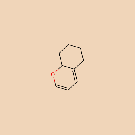 C1=COC2CCCCC2=C1